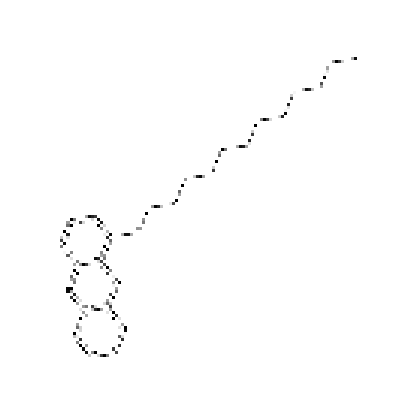 CCCCCCCCCCCCOc1cccc2cc3ccccc3cc12